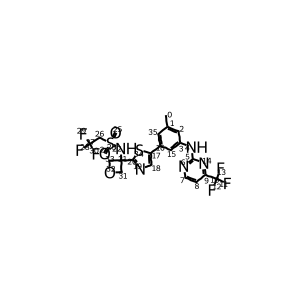 Cc1cc(Nc2nccc(C(F)(F)F)n2)cc(-c2cnc(C3(NS(=O)(=O)CC(F)(F)F)COC3)s2)c1